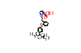 CC(C)(C)c1ccc(Sc2ccccc2CCCN2CCC[C@H]2C(=O)O)cc1